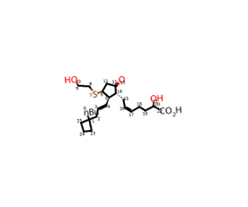 CCCCC1(C/C=C/[C@H]2[C@@H](SCCO)CC(=O)[C@@H]2C/C=C\CCC(O)C(=O)O)CCC1